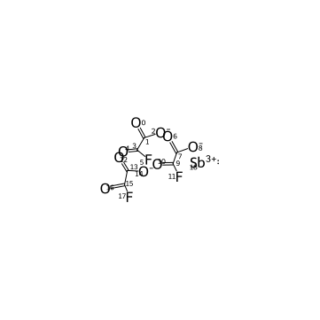 O=C([O-])C(=O)F.O=C([O-])C(=O)F.O=C([O-])C(=O)F.[Sb+3]